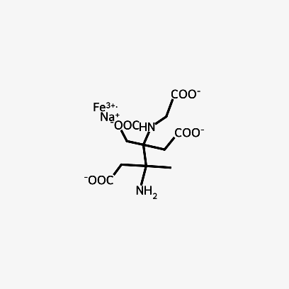 CC(N)(CC(=O)[O-])C(CC(=O)[O-])(CC(=O)[O-])NCC(=O)[O-].[Fe+3].[Na+]